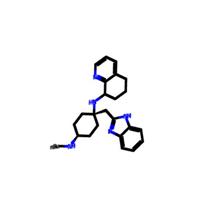 CCCCN[C@H]1CC[C@](Cc2nc3ccccc3[nH]2)(NC2CCCc3cccnc32)CC1